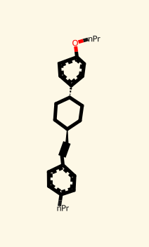 CCCOc1ccc([C@H]2CC[C@H](C#Cc3ccc(CCC)cc3)CC2)cc1